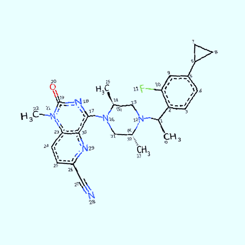 CC(c1ccc(C2CC2)cc1F)N1C[C@H](C)N(c2nc(=O)n(C)c3ccc(C#N)nc23)C[C@H]1C